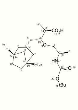 C[C@H](CO[C@H](C[C@@H]1C[C@@H]2CC[C@@H](C2)C1)[C@@H](C)C(=O)O)NC(=O)OC(C)(C)C